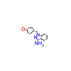 COc1ccc(Cn2nc(N)c3ccccc32)cc1